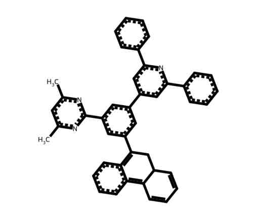 Cc1cc(C)nc(-c2cc(C3=c4ccccc4=C4C=CC=CC4C3)cc(-c3cc(-c4ccccc4)nc(-c4ccccc4)c3)c2)n1